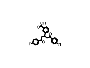 O=C(O)c1cccc(C(CC(=O)c2ccc(F)cc2)CC(=O)c2ccc(Cl)cc2)c1